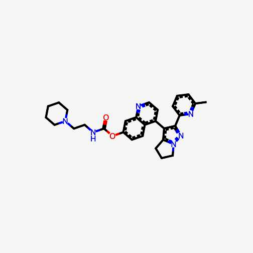 Cc1cccc(-c2nn3c(c2-c2ccnc4cc(OC(=O)NCCN5CCCCC5)ccc24)CCC3)n1